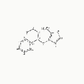 CC1=C(CC2CCCc3cccnc32)N=CC1